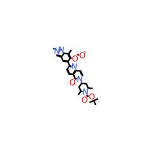 COCOc1c(-c2ccc3c(=O)n(C4CC(C)N(C(=O)OC(C)(C)C)C(C)C4)ccc3n2)cc2cn(C)nc2c1C